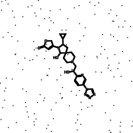 O=C1C=C(N2C(C3CC3)CC3(CCN(C[C@H](O)c4ccc(-n5cnnn5)cn4)CC3)C2O)CO1